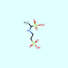 CC(NCCS(=O)(=O)O)S(=O)(=O)O